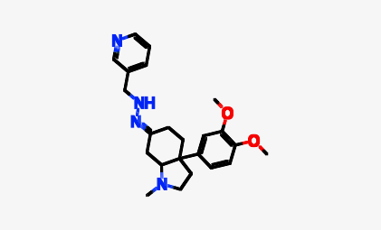 COc1ccc(C23CC/C(=N\NCc4cccnc4)CC2N(C)CC3)cc1OC